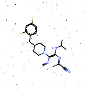 C=N/C(=C(\N=C(/C)C#N)NC(C)C)N1CCC([C@H](F)c2ccc(F)cc2F)CC1